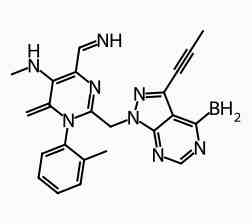 Bc1ncnc2c1c(C#CC)nn2CC1=NC(C=N)=C(NC)C(=C)N1c1ccccc1C